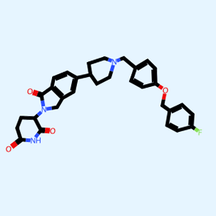 O=C1CCC(N2Cc3cc(C4CCN(Cc5ccc(OCc6ccc(F)cc6)cc5)CC4)ccc3C2=O)C(=O)N1